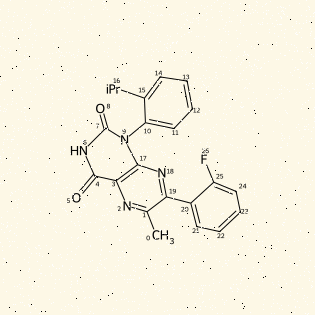 Cc1nc2c(=O)[nH]c(=O)n(-c3ccccc3C(C)C)c2nc1-c1ccccc1F